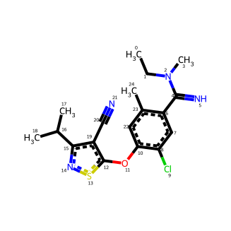 CCN(C)C(=N)c1cc(Cl)c(Oc2snc(C(C)C)c2C#N)cc1C